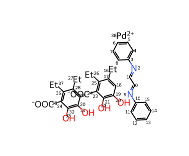 C(C=Nc1ccccc1)=Nc1ccccc1.CCc1cc(O)c(O)c(C(=O)[O-])c1CC.CCc1cc(O)c(O)c(C(=O)[O-])c1CC.[Pd+2]